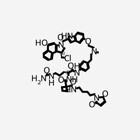 CN(CCOc1ccc2[nH]c(C(=O)N3C[C@@H](CCl)c4c3cc(O)c3ccccc43)cc2c1)CCc1ccc(NC(=O)[C@H](CCCNC(N)=O)NC(=O)C2(C(=O)NCCCCCN3C(=O)C=CC3=O)CCC2)cc1